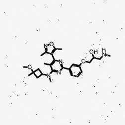 CNCC(O)COc1cccc(-c2nc(-c3c(C)noc3C)c(C)c(N(C)C3CC(C)(OC)C3)n2)c1